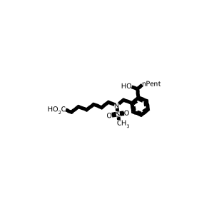 CCCCCC(O)c1ccccc1CN(CCCCCCC(=O)O)S(C)(=O)=O